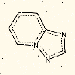 [c]1cccc2ncnn12